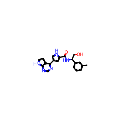 Cc1cccc(C(CO)NC(=O)c2cc(-c3ncnc4[nH]ccc34)c[nH]2)c1